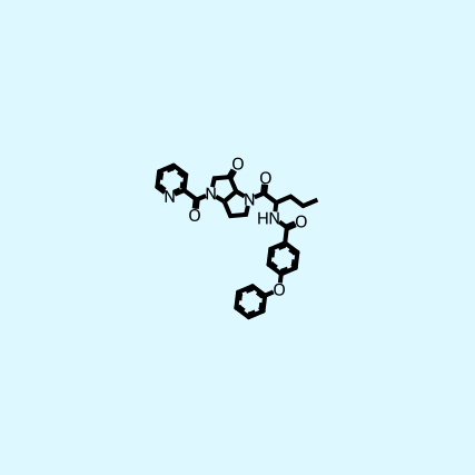 CCCC(NC(=O)c1ccc(Oc2ccccc2)cc1)C(=O)N1CCC2C1C(=O)CN2C(=O)c1ccccn1